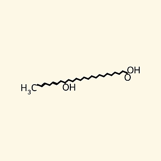 CCC=CCC=CCC(O)CCCCCCCCCCCCCCCC(=O)O